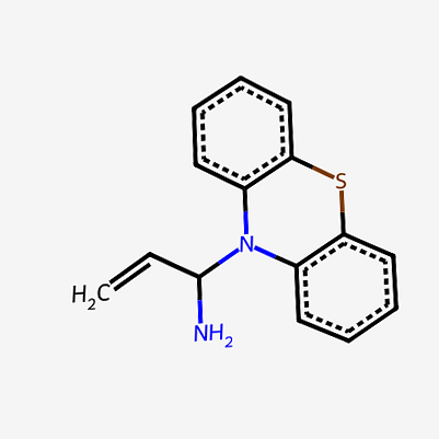 C=CC(N)N1c2ccccc2Sc2ccccc21